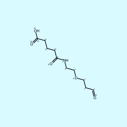 O=CCCOCCNC(=O)CCCC(=O)O